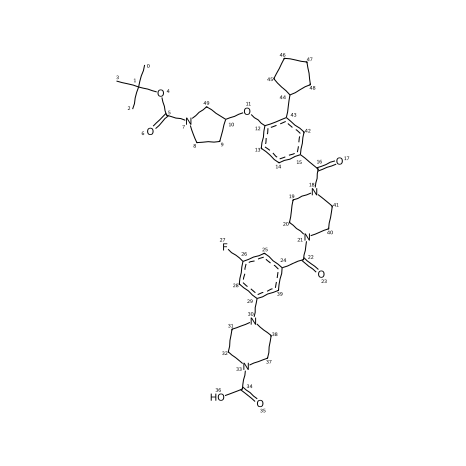 CC(C)(C)OC(=O)N1CCC(Oc2ccc(C(=O)N3CCN(C(=O)c4cc(F)cc(N5CCN(C(=O)O)CC5)c4)CC3)cc2C2CCCC2)C1